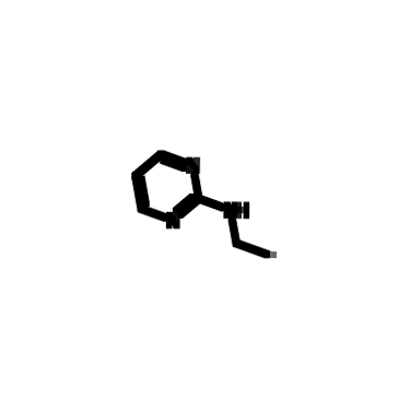 [CH2]CNc1ncccn1